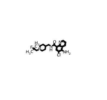 CC(C)(F)CN1CCC(CNC(=O)c2cc(Cl)c(N)c3cccnc23)CC1